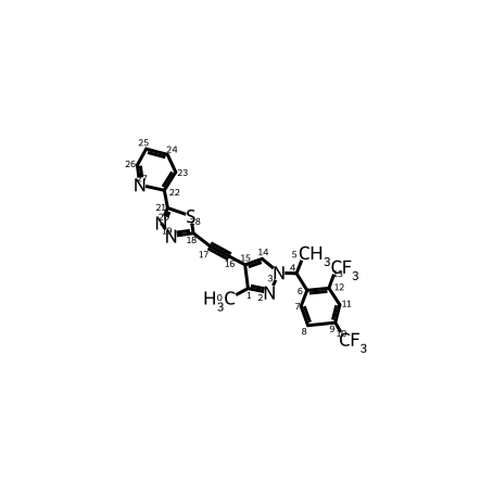 Cc1nn(C(C)c2ccc(C(F)(F)F)cc2C(F)(F)F)cc1C#Cc1nnc(-c2ccccn2)s1